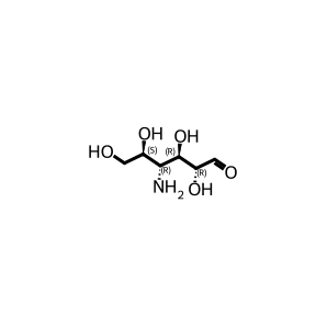 N[C@@H]([C@@H](O)[C@@H](O)C=O)[C@H](O)CO